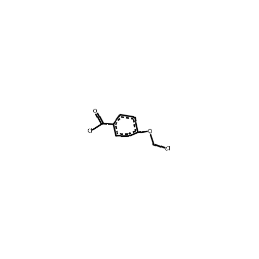 O=C(Cl)c1ccc(OCCl)cc1